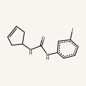 O=C(Nc1cccc(I)c1)NC1CC=CC1